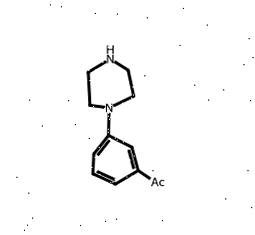 CC(=O)c1cccc(N2CCNCC2)c1